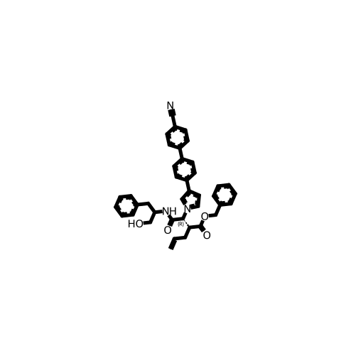 C=CCC(C(=O)OCc1ccccc1)[C@H](C(=O)NC(CO)Cc1ccccc1)n1ccc(-c2ccc(-c3ccc(C#N)cc3)cc2)c1